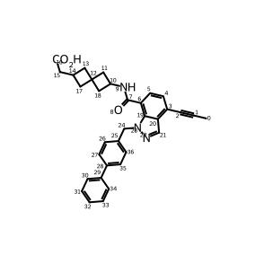 CC#Cc1ccc(C(=O)NC2CC3(CC(CC(=O)O)C3)C2)c2c1cnn2Cc1ccc(-c2ccccc2)cc1